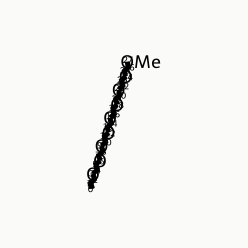 C=CCOCCOCCOCCOCCOCCOCCOCCOCCOC